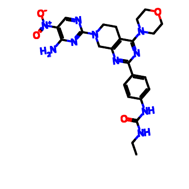 CCNC(=O)Nc1ccc(-c2nc3c(c(N4CCOCC4)n2)CCN(c2ncc([N+](=O)[O-])c(N)n2)C3)cc1